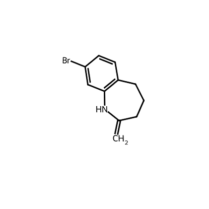 C=C1CCCc2ccc(Br)cc2N1